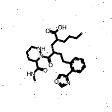 CCCCC(CC(CCc1ccccc1-c1cocn1)C(=O)N1NCCCC1C(=O)NC)C(=O)O